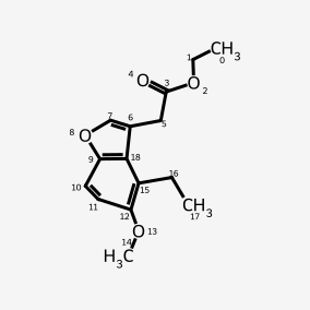 CCOC(=O)Cc1coc2ccc(OC)c(CC)c12